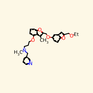 CCOCc1cc2cc(OCc3oc4cccc(OCCCN(C)Cc5cccnc5)c4c3C)ccc2o1